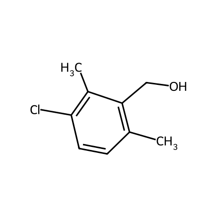 Cc1ccc(Cl)c(C)c1CO